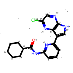 O=C(Nc1cccc(-c2c[nH]c3ncc(Cl)nc23)n1)C1CCCCC1